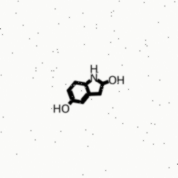 OC1=CCC2NC(O)CC2=C1